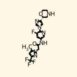 Cc1cc(C(F)(F)F)nn1CC(=O)Nc1cnc(-n2cnc([C@H]3CNCCO3)c2)c(F)c1